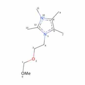 COCOCCn1c(C)c(C)[n+](C)c1C